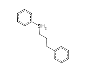 c1ccc(CCC[SiH2]c2ccccc2)cc1